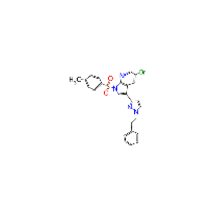 Cc1ccc(S(=O)(=O)n2cc(-c3ccn(CCc4ccccc4)n3)c3cc(Br)cnc32)cc1